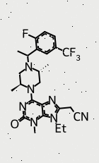 CCn1c(CC#N)nc2c(N3C[C@@H](C)N(C(C)c4cc(C(F)(F)F)ccc4F)C[C@@H]3C)nc(=O)n(C)c21